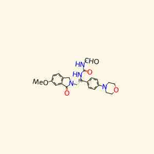 COc1ccc2c(c1)C(=O)N(C[C@H](NC(=O)NC=O)c1ccc(N3CCOCC3)cc1)C2